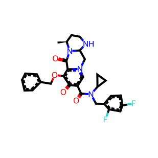 C[C@H]1CCNC2Cn3cc(C(=O)N(Cc4ccc(F)cc4F)C4CC4)c(=O)c(OCc4ccccc4)c3C(=O)N21